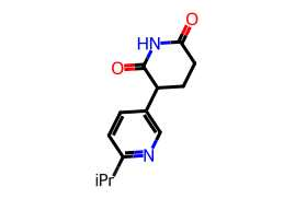 CC(C)c1ccc(C2CCC(=O)NC2=O)cn1